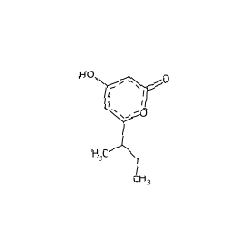 CCC(C)c1cc(O)cc(=O)o1